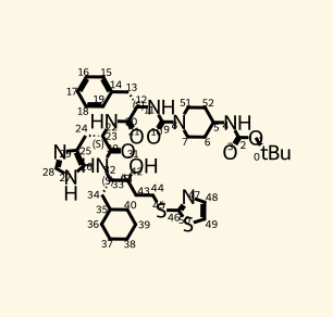 CC(C)(C)OC(=O)NC1CCN(C(=O)N[C@@H](Cc2ccccc2)C(=O)N[C@@H](Cc2c[nH]cn2)C(=O)N[C@@H](CC2CCCCC2)[C@@H](O)CCSc2nccs2)CC1